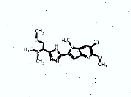 COCC(c1nnc(-c2cc3nc(OC)c(Cl)cc3n2C)[nH]1)N(C)C